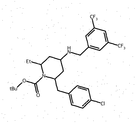 CCC1CC(NCc2cc(C(F)(F)F)cc(C(F)(F)F)c2)CC(Cc2ccc(Cl)cc2)N1C(=O)OC(C)(C)C